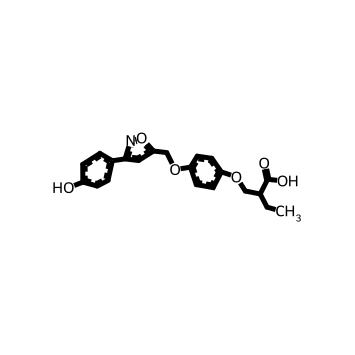 CCC(COc1ccc(OCc2cc(-c3ccc(O)cc3)no2)cc1)C(=O)O